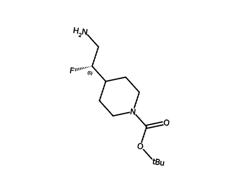 CC(C)(C)OC(=O)N1CCC([C@H](F)CN)CC1